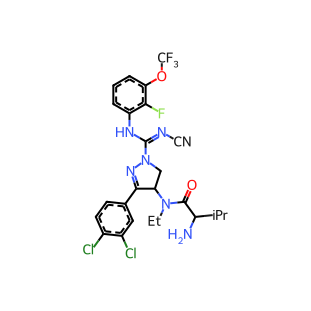 CCN(C(=O)C(N)C(C)C)C1CN(C(=NC#N)Nc2cccc(OC(F)(F)F)c2F)N=C1c1ccc(Cl)c(Cl)c1